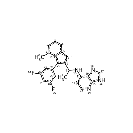 Cc1cccc2nc(C(C)Nc3ncnc4[nH]cnc34)c(-c3cc(F)cc(F)c3)n12